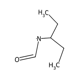 CCC(CC)[N]C=O